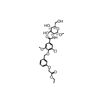 CCOC(=O)COc1cccc(COc2c(Cl)cc(C(=O)N[C@H]3[C@@H](OC)O[C@H](CO)[C@@H](O)[C@@H]3O)cc2OC)c1